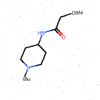 COCC(=O)NC1CCN(C(C)(C)C)CC1